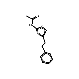 CC(=O)Nc1nc(CCc2ccccc2)cs1